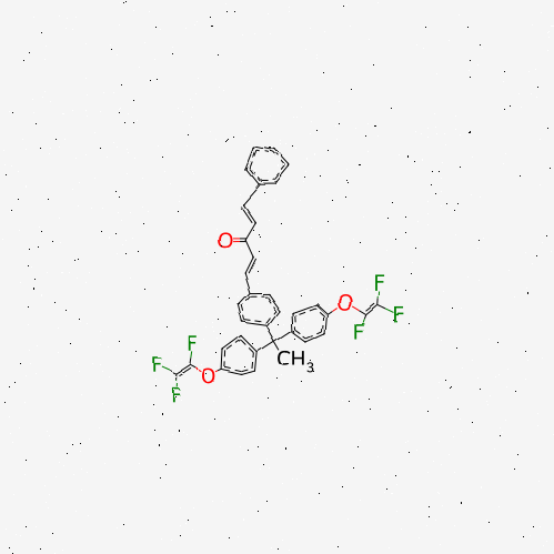 CC(c1ccc(/C=C/C(=O)/C=C/c2ccccc2)cc1)(c1ccc(OC(F)=C(F)F)cc1)c1ccc(OC(F)=C(F)F)cc1